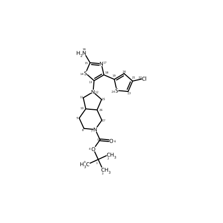 CC(C)(C)OC(=O)N1CCC2CN(c3sc(N)nc3-c3cc(Cl)cs3)CC2C1